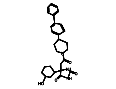 O=C1NC(=O)C(CC(=O)N2CCC(c3ccc(-c4ccccc4)cc3)CC2)(C2CCCC(O)C2)N1